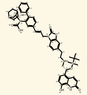 CC(C)(C)[Si](C)(C)O[C@@H](CNCCc1ccc2c(c1)oc(=O)n2C/C=C/c1ccc(-c2ccccc2)c(N(C(=O)O)[C@H]2CN3CCC2CC3)c1)c1ccc(O)c2[nH]c(=O)ccc12